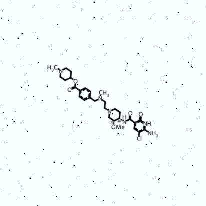 CO[C@H]1CN(CCN(C)Cc2ccc(C(=O)OC3CCN(C)CC3)cc2)CC[C@H]1NC(=O)c1cc(Cl)c(N)[nH]c1=O